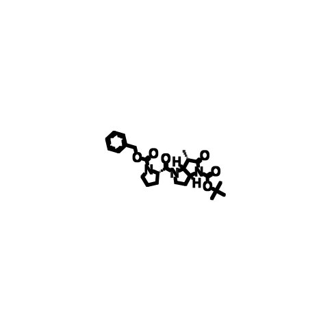 C[C@@H]1C(=O)N(C(=O)OC(C)(C)C)[C@H]2CCN(C(=O)[C@@H]3CCCN3C(=O)OCc3ccccc3)[C@H]12